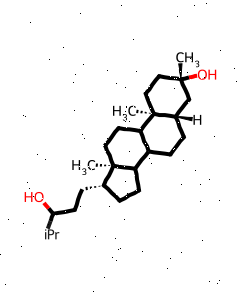 CC(C)C(O)CC[C@H]1CCC2C3CC[C@H]4C[C@@](C)(O)CC[C@]4(C)C3CC[C@@]21C